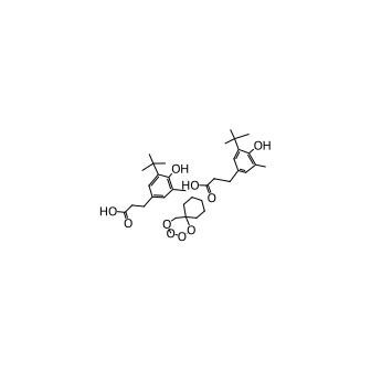 C1CCC2(CC1)COOOO2.Cc1cc(CCC(=O)O)cc(C(C)(C)C)c1O.Cc1cc(CCC(=O)O)cc(C(C)(C)C)c1O